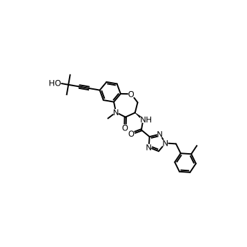 Cc1ccccc1Cn1cnc(C(=O)N[C@@H]2COc3ccc(C#CC(C)(C)O)cc3N(C)C2=O)n1